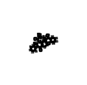 CCNC(=O)Nc1sc2ccccc2c1C(=O)N1CCC2(CC1)Oc1ccccc1C(=O)C2(C)C